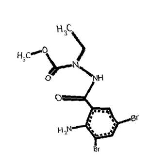 CCN(NC(=O)c1cc(Br)cc(Br)c1N)C(=O)OC